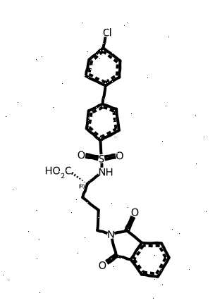 O=C(O)[C@@H](CCCN1C(=O)c2ccccc2C1=O)NS(=O)(=O)c1ccc(-c2ccc(Cl)cc2)cc1